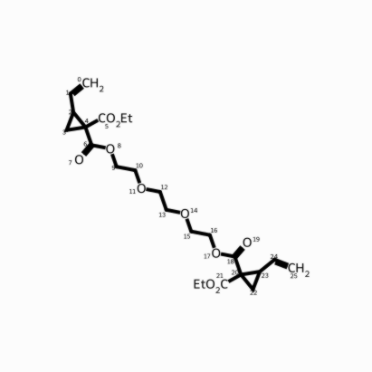 C=CC1CC1(C(=O)OCC)C(=O)OCCOCCOCCOC(=O)C1(C(=O)OCC)CC1C=C